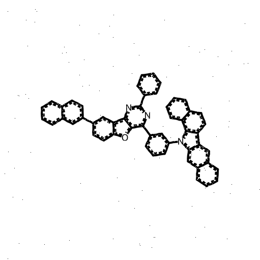 c1ccc(-c2nc(-c3cccc(-n4c5cc6ccccc6cc5c5ccc6ccccc6c54)c3)c3oc4ccc(-c5ccc6ccccc6c5)cc4c3n2)cc1